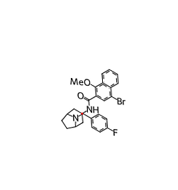 COc1c(C(=O)NC2CC3CCC(C2)N3Cc2ccc(F)cc2)cc(Br)c2ccccc12